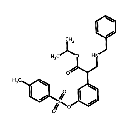 Cc1ccc(S(=O)(=O)Oc2cccc(C(CNCc3ccccc3)C(=O)OC(C)C)c2)cc1